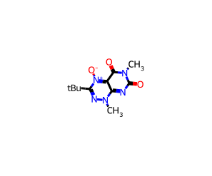 Cn1nc(C(C)(C)C)[n+]([O-])c2c(=O)n(C)c(=O)nc1-2